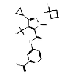 NC(=O)c1cc(NC(=O)c2c(C(F)(F)F)c(C3CC3)nn2C[C@H]2CCC2(F)F)ccn1